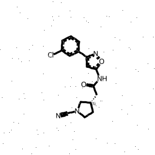 N#CN1CC[C@@H](CC(=O)Nc2cc(-c3cccc(Cl)c3)no2)C1